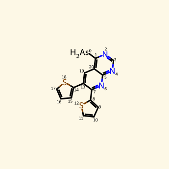 [AsH2]c1ncnc2nc(-c3cccs3)c(-c3cccs3)cc12